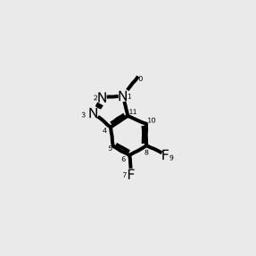 Cn1nnc2cc(F)c(F)cc21